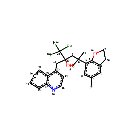 Cc1cc2c(c(C(C)(C)CC(O)(Cc3ccnc4ccccc34)C(F)(F)F)c1)OCC2